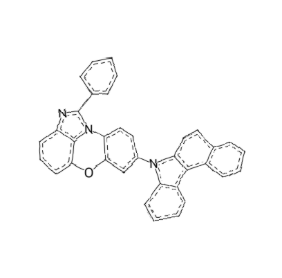 c1ccc(-c2nc3cccc4c3n2-c2ccc(-n3c5ccccc5c5c6ccccc6ccc53)cc2O4)cc1